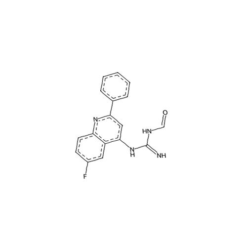 N=C(NC=O)Nc1cc(-c2ccccc2)nc2ccc(F)cc12